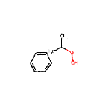 CC(C)OO.c1ccccc1